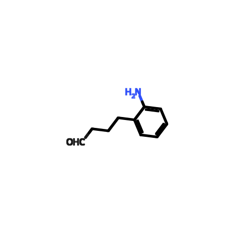 Nc1ccccc1CCCC=O